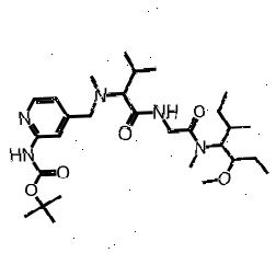 CCC(C)C(C(CC)OC)N(C)C(=O)CNC(=O)C(C(C)C)N(C)Cc1ccnc(NC(=O)OC(C)(C)C)c1